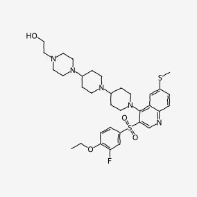 CCOc1ccc(S(=O)(=O)c2cnc3ccc(SC)cc3c2N2CCC(N3CCC(N4CCN(CCO)CC4)CC3)CC2)cc1F